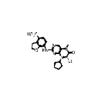 CC[C@H]1C(=O)N(C)c2cnc(Nc3ccc(C(=O)O)c4c3OCC4)nc2N1C1CCCC1